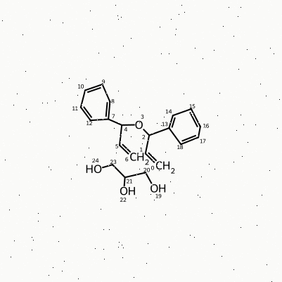 C=CC(OC(C=C)c1ccccc1)c1ccccc1.OCC(O)CO